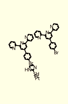 Brc1ccc(-c2cc(-c3ccccn3)nc(-c3ccccn3)c2)cc1.Brc1ccc(-c2cc(-c3ccccn3)nc(-c3ccccn3)c2)cc1.Sc1ncc[nH]1.[Pt].[Pt]